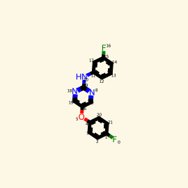 Fc1ccc(Oc2cnc(Nc3cccc(F)c3)nc2)cc1